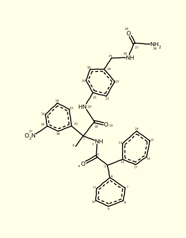 CC(NC(=O)C(c1ccccc1)c1ccccc1)(C(=O)Nc1ccc(CNC(N)=O)cc1)c1cccc([N+](=O)[O-])c1